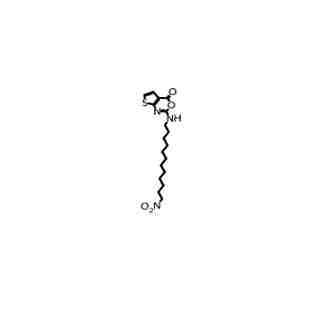 O=c1oc(NCCCCCCCCCCCC[N+](=O)[O-])nc2sccc12